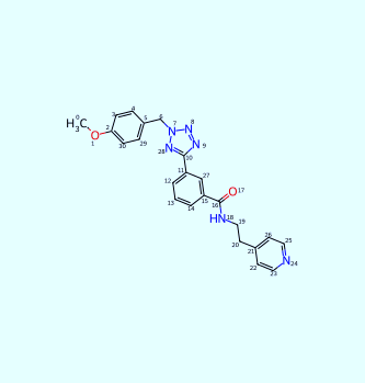 COc1ccc(Cn2nnc(-c3cccc(C(=O)NCCc4ccncc4)c3)n2)cc1